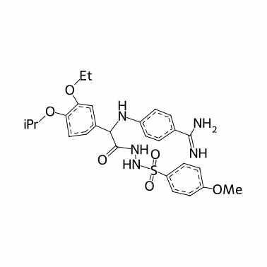 CCOc1cc(C(Nc2ccc(C(=N)N)cc2)C(=O)NNS(=O)(=O)c2ccc(OC)cc2)ccc1OC(C)C